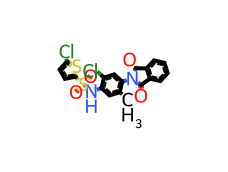 Cc1cc(NS(=O)(=O)c2ccc(Cl)s2)c(Cl)cc1N1C(=O)c2ccccc2C1=O